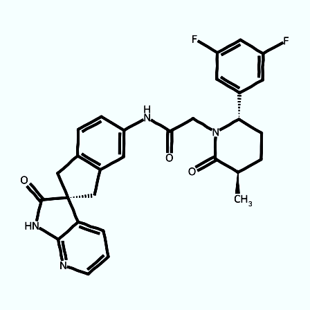 C[C@@H]1CC[C@@H](c2cc(F)cc(F)c2)N(CC(=O)Nc2ccc3c(c2)C[C@@]2(C3)C(=O)Nc3ncccc32)C1=O